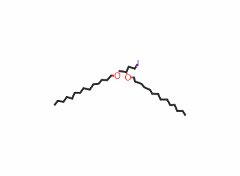 CCCCCCCCCCCCCCOCC(CCI)OCCCCCCCCCCCCCC